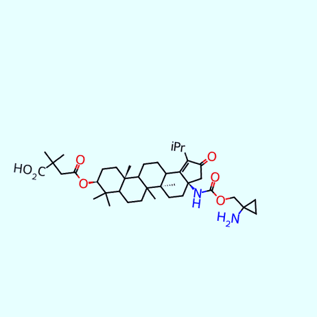 CC(C)C1=C2C3CCC4C(C)(CCC5C(C)(C)[C@@H](OC(=O)CC(C)(C)C(=O)O)CC[C@@]54C)[C@]3(C)CC[C@@]2(NC(=O)OCC2(N)CC2)CC1=O